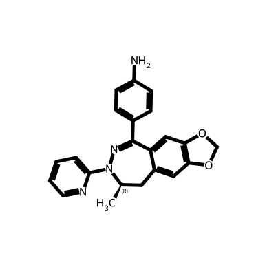 C[C@@H]1Cc2cc3c(cc2C(c2ccc(N)cc2)=NN1c1ccccn1)OCO3